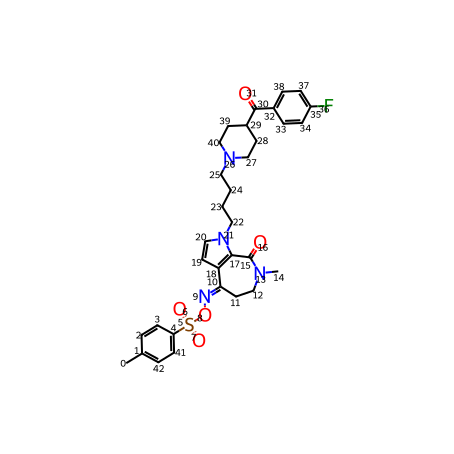 Cc1ccc(S(=O)(=O)ON=C2CCN(C)C(=O)c3c2ccn3CCCCN2CCC(C(=O)c3ccc(F)cc3)CC2)cc1